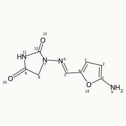 Nc1ccc(/C=N/N2CC(=O)NC2=O)o1